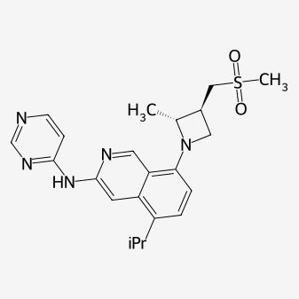 CC(C)c1ccc(N2C[C@H](CS(C)(=O)=O)[C@H]2C)c2cnc(Nc3ccncn3)cc12